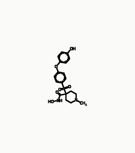 CN1CCC(C(=O)NO)(S(=O)(=O)c2ccc(Oc3ccc(O)cc3)cc2)CC1